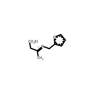 CCOC(=O)C/C(C)=N/Cc1ccco1